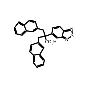 O=C(O)C(Cc1ccc2ccccc2c1)(Cc1ccc2ccccc2c1)c1ccc2nsnc2c1